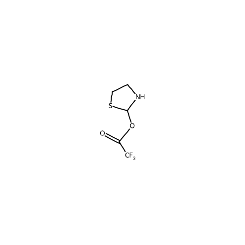 O=C(OC1NCCS1)C(F)(F)F